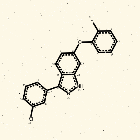 Fc1ccccc1Oc1ccc2c(-c3cccc(Cl)c3)n[nH]c2c1